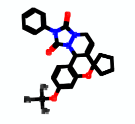 CC(C)[Si](Oc1ccc2c(c1)OC1(CCCC1)C1=CCn3c(=O)n(-c4ccccc4)c(=O)n3C12)(C(C)C)C(C)C